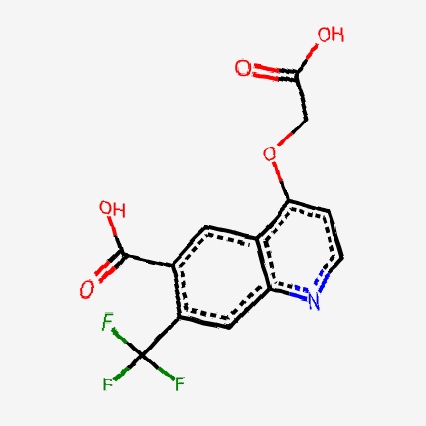 O=C(O)COc1ccnc2cc(C(F)(F)F)c(C(=O)O)cc12